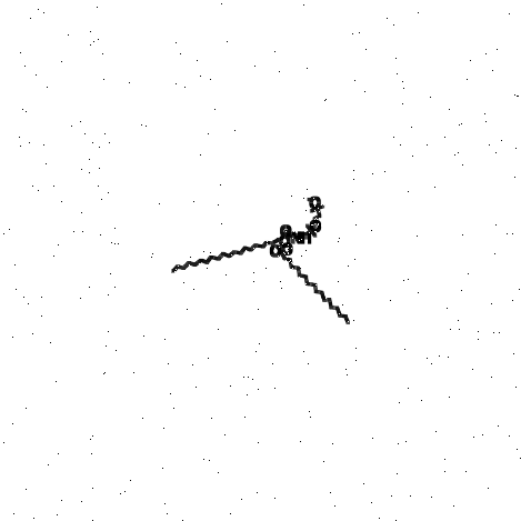 CCCCCCCCCCCCCCCCCCC(COC(=O)NCCC(C)(C)OCCC(C)(C)OC)OC(=O)CCCCCCCCCCCCCCCCC